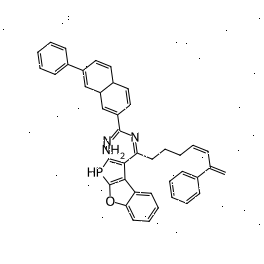 C=C(/C=C\CCC/C(=N/C(=N\N)C1=CC2C=C(c3ccccc3)C=CC2C=C1)c1c[pH]c2oc3ccccc3c12)c1ccccc1